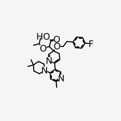 Cc1cc(N2CCC(C)(C)CC2)c(C2=CCC(OCCc3ccc(F)cc3)(C(OC(C)C)C(=O)O)C=N2)cn1